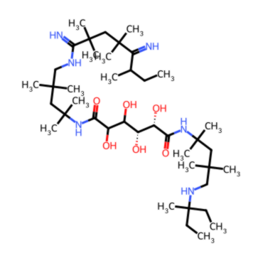 CCC(C)C(=N)C(C)(C)CC(C)(C)C(=N)NCC(C)(C)CC(C)(C)NC(=O)C(O)C(O)[C@@H](O)[C@H](O)C(=O)NC(C)(C)CC(C)(C)CNC(C)(CC)CC